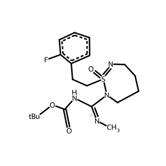 C/N=C(/NC(=O)OC(C)(C)C)N1CCCCN=S1(=O)CCc1ccccc1F